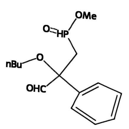 CCCCOC(C=O)(C[PH](=O)OC)c1ccccc1